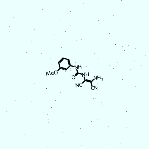 COc1cccc(NC(=O)N/C(C#N)=C(\N)C#N)c1